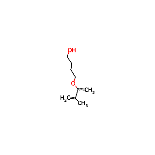 C=C(C)C(=C)OCCCCO